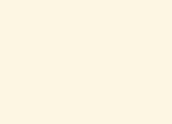 OSOc1cc2ccccc2s1